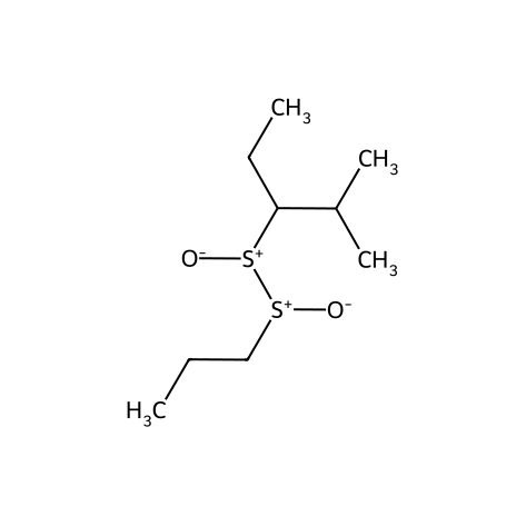 CCC[S+]([O-])[S+]([O-])C(CC)C(C)C